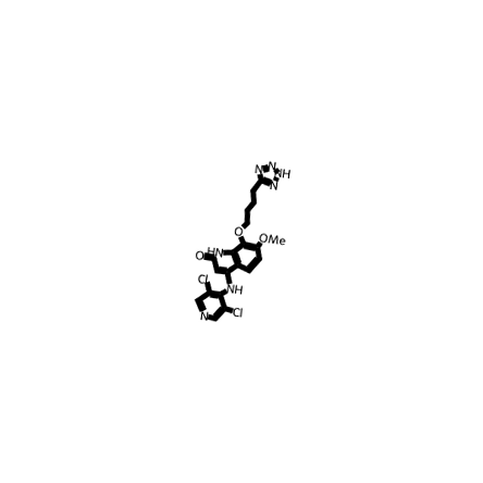 COc1ccc2c(Nc3c(Cl)cncc3Cl)cc(=O)[nH]c2c1OCCCCc1nn[nH]n1